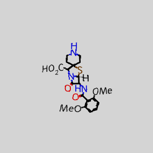 COc1cccc(OC)c1C(=O)NC1C(=O)N2C(C(=O)O)C3(CCNCC3)S[C@@H]12